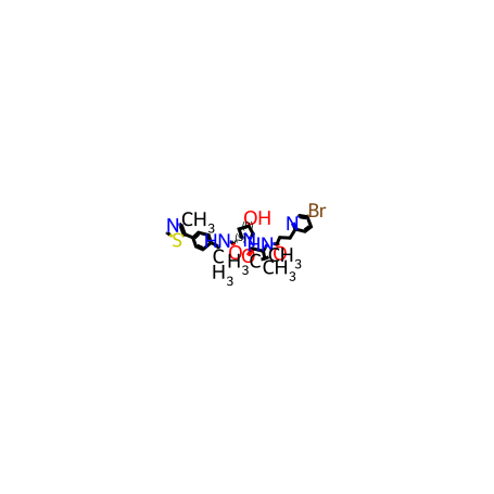 Cc1ncsc1-c1ccc(C(C)NC(=O)[C@@H]2C[C@@H](O)CN2C(=O)C(NC(=O)CCc2ccc(Br)cn2)C(C)(C)C)cc1